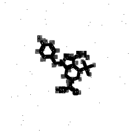 CC(C)(C)C1CN(C(=O)O)Cc2c1c(N)nn2Cc1ccc(F)cc1